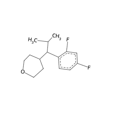 CC(C)C(c1ccc(F)cc1F)C1CCOCC1